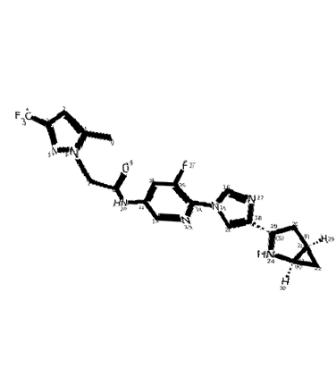 Cc1cc(C(F)(F)F)nn1CC(=O)Nc1cnc(-n2cnc([C@@H]3C[C@H]4C[C@H]4N3)c2)c(F)c1